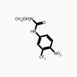 CN(O)C(=O)Nc1ccc([N+](=O)[O-])c(C(F)(F)F)c1